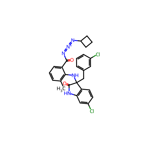 Cc1cccc(C(=O)N=[N+]=NC2CCC2)c1NC1(Cc2cccc(Cl)c2)C(=O)Nc2cc(Cl)ccc21